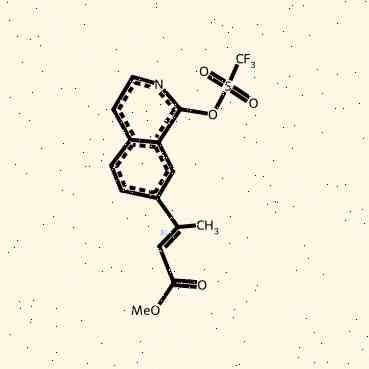 COC(=O)/C=C(\C)c1ccc2ccnc(OS(=O)(=O)C(F)(F)F)c2c1